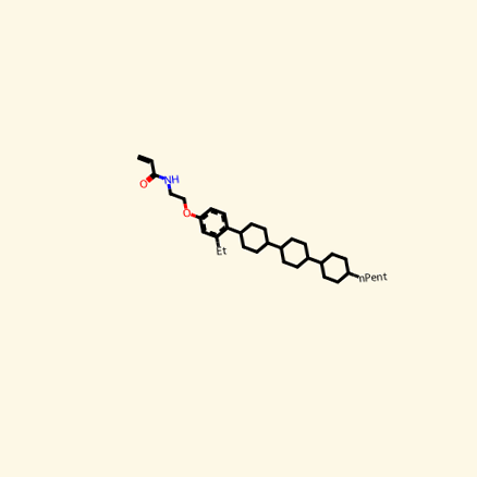 C=CC(=O)NCCOc1ccc(C2CCC(C3CCC(C4CCC(CCCCC)CC4)CC3)CC2)c(CC)c1